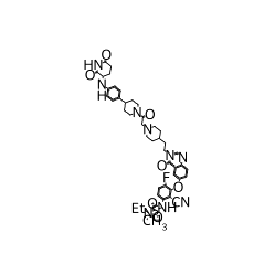 CCN(C)S(=O)(=O)Nc1ccc(F)c(Oc2ccc3ncn(CCC4CCN(CC(=O)N5CCC(c6ccc(NC7CCC(=O)NC7=O)cc6)CC5)CC4)c(=O)c3c2)c1C#N